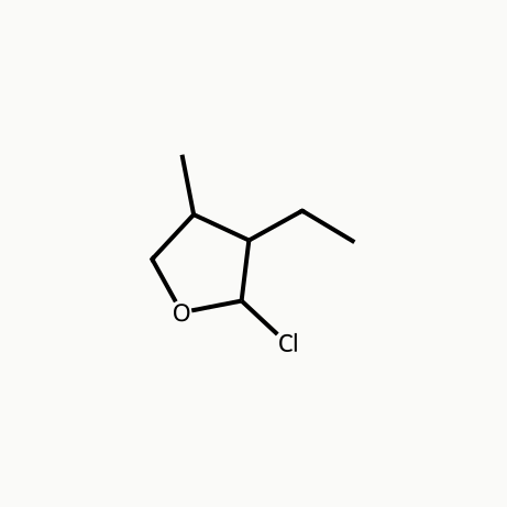 CCC1C(C)COC1Cl